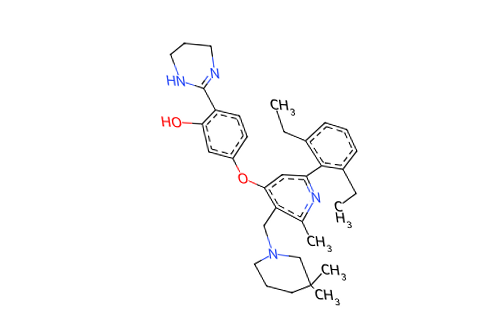 CCc1cccc(CC)c1-c1cc(Oc2ccc(C3=NCCCN3)c(O)c2)c(CN2CCCC(C)(C)C2)c(C)n1